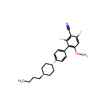 CCCC[C@H]1CC[C@H](c2ccc(-c3c(OC)cc(F)c(C#N)c3F)cc2)CC1